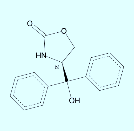 O=C1N[C@H](C(O)(c2ccccc2)c2ccccc2)CO1